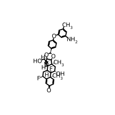 Cc1cc(N)cc(Oc2ccc([C@@H]3O[C@@H]4C[C@H]5[C@@H]6C[C@H](F)C7=CC(=O)C=C[C@]7(C)[C@@]6(F)[C@@H](O)C[C@]5(C)[C@]4(C(=O)CO)O3)cc2)c1